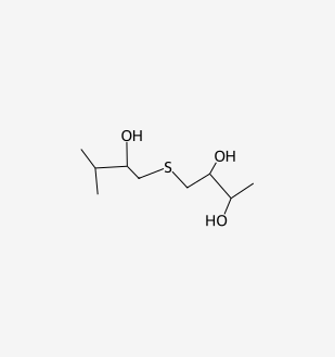 CC(C)C(O)CSCC(O)C(C)O